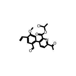 C=Cc1cc(C=O)c(-c2ccc(C(C)=O)nc2C(=O)OC(C)Cl)cc1OC